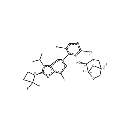 CC(C)n1c([C@@H]2CCC2(F)F)nc2c(F)cc(-c3nc(N[C@@H]4C[C@H]5CO[C@H](O5)[C@H]4O)ncc3Cl)cc21